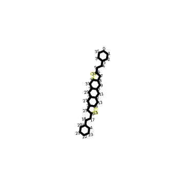 C1CCC(CCC2CC3CC4CC5CC6SC(CCC7CCCCC7)CC6CC5CC4CC3S2)CC1